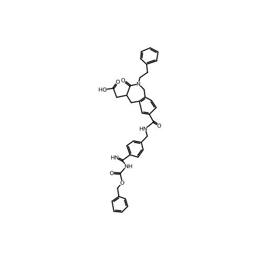 N=C(NC(=O)OCc1ccccc1)c1ccc(CNC(=O)c2ccc3c(c2)CC(CC(=O)O)C(=O)N(CCc2ccccc2)C3)cc1